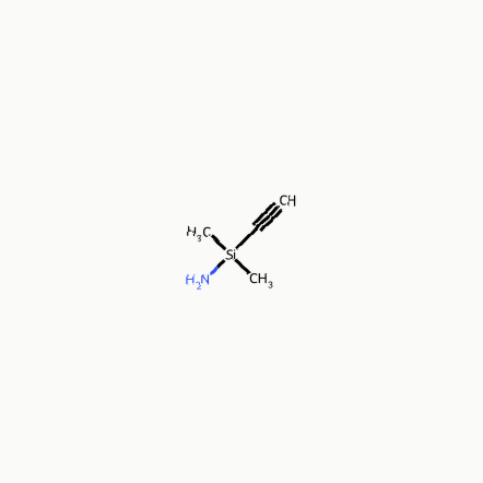 C#C[Si](C)(C)N